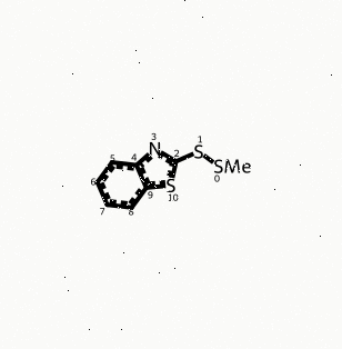 CSSc1nc2ccccc2s1